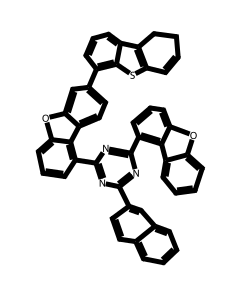 C1=Cc2sc3c(-c4ccc5c(c4)oc4cccc(-c6nc(-c7ccc8ccccc8c7)nc(-c7cccc8oc9ccccc9c78)n6)c45)cccc3c2CC1